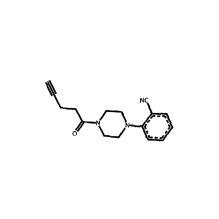 C#CCCC(=O)N1CCN(c2ccccc2C#N)CC1